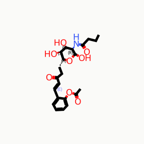 CCCC(=O)N[C@H]1C(O)O[C@H](CCC(=O)/C=C/c2ccccc2OC(C)=O)[C@@H](O)[C@@H]1O